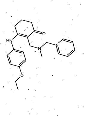 CCOc1ccc(NC2=C(CN(C)Cc3ccccc3)C(=O)CCC2)cc1